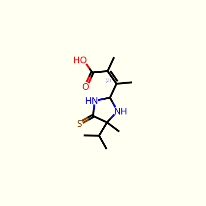 C/C(C(=O)O)=C(\C)C1NC(=S)C(C)(C(C)C)N1